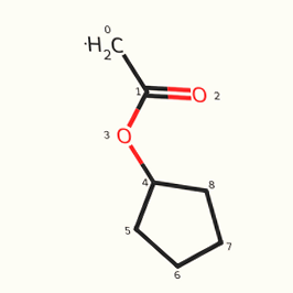 [CH2]C(=O)OC1CCCC1